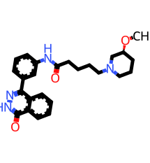 CO[C@H]1CCCN(CCCCC(=O)Nc2cccc(-c3n[nH]c(=O)c4ccccc34)c2)C1